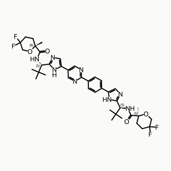 CC(C)(C)[C@H](NC(=O)[C@@]1(C)CCC(F)(F)CO1)c1ncc(-c2cnc(-c3ccc(-c4cnc([C@@H](NC(=O)[C@]5(C)CCC(F)(F)CO5)C(C)(C)C)[nH]4)cc3)nc2)[nH]1